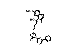 COc1ccc2ncc(F)c([C@@H](O)CCCC[C@@H]3CN(C4=COC=C(C5=CC=CCC5)O4)C(=O)O3)c2n1